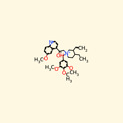 C=CC1C[N+](Cc2cc(OC)c(OC)c(OC)c2)(C[C@H](O)c2ccnc3ccc(OC)cc23)CCC1CC